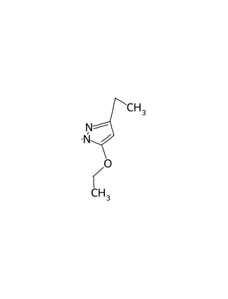 CCOC1=CC(CC)=N[N]1